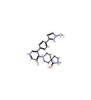 Cn1ccc(-c2ccc(-c3cncc(Cl)c3N3CCC4(CCNC4=O)CC3)cc2)n1